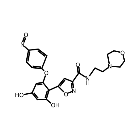 O=Nc1ccc(Oc2cc(O)cc(O)c2-c2cc(C(=O)NCCN3CCOCC3)no2)cc1